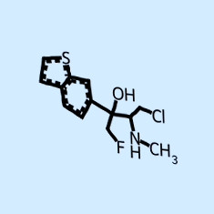 CNC(CCl)C(O)(CF)c1ccc2ccsc2c1